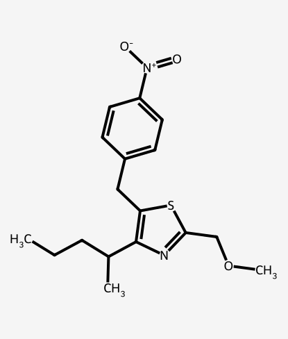 CCCC(C)c1nc(COC)sc1Cc1ccc([N+](=O)[O-])cc1